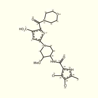 COC1CN(c2nc(C(=O)O)c(C(=O)N3CCOCC3)s2)CCC1NC(=O)c1[nH]c(C)c(Cl)c1Cl